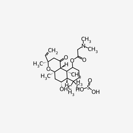 C=C[C@@]1(C)CC(=O)[C@@H]2[C@@]3(C)C(OC(=O)CN(C)C)CCC(C)(C)[C@@H]3[C@H](O)C[C@@]2(C)O1.O=S(O)O